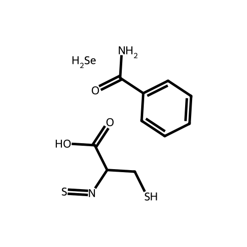 NC(=O)c1ccccc1.O=C(O)C(CS)N=S.[SeH2]